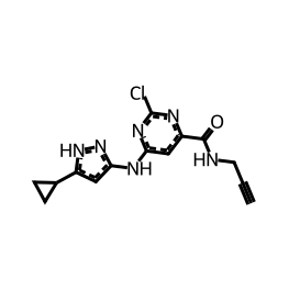 C#CCNC(=O)c1cc(Nc2cc(C3CC3)[nH]n2)nc(Cl)n1